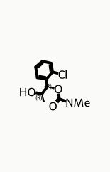 CNC(=O)O[C@H](c1ccccc1Cl)[C@@H](C)O